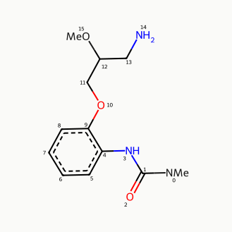 CNC(=O)Nc1ccccc1OCC(CN)OC